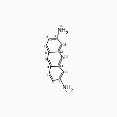 Nc1ccc2[c]c3ccc(N)cc3nc2c1